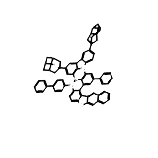 c1ccc(-c2ccc(N3B4c5c(cc(-c6ccccc6)cc5-n5c6ccc(C78CC9CC%10CC9(C7)C%10C8)cc6c6cc(C78CC9CC%10CC(C7)C%109C8)cc4c65)-c4c3ccc3sc5cc6ccccc6cc5c43)cc2)cc1